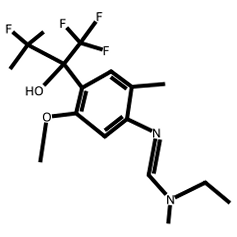 CCN(C)/C=N/c1cc(OC)c(C(O)(C(C)(C)F)C(F)(F)F)cc1C